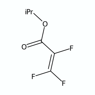 CC(C)OC(=O)C(F)=C(F)F